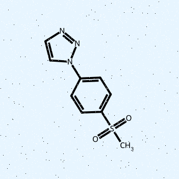 CS(=O)(=O)c1ccc(-n2[c]cnn2)cc1